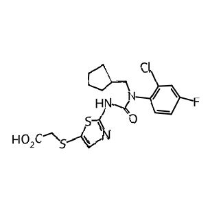 O=C(O)CSc1cnc(NC(=O)N(CC2CCCC2)c2ccc(F)cc2Cl)s1